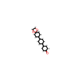 O=C1CCC(C2CCC(C3CCC4(CC3)OCCO4)CC2)CC1